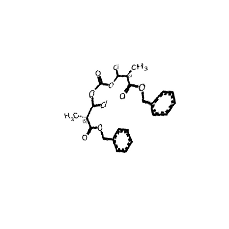 C[C@@H](C(=O)OCc1ccccc1)C(Cl)OC(=O)OC(Cl)[C@@H](C)C(=O)OCc1ccccc1